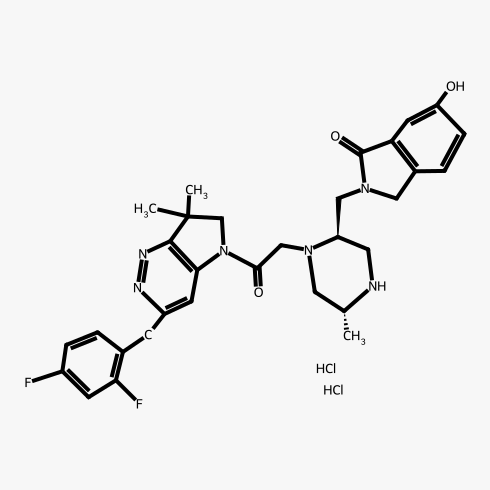 C[C@@H]1CN(CC(=O)N2CC(C)(C)c3nnc(Cc4ccc(F)cc4F)cc32)[C@@H](CN2Cc3ccc(O)cc3C2=O)CN1.Cl.Cl